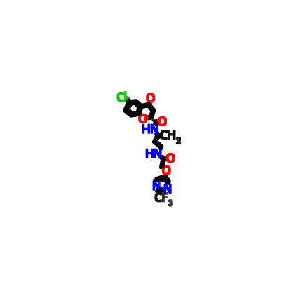 C=C(CCNC(=O)COc1cnc(C(F)(F)F)nc1)NC(=O)[C@H]1CC(=O)c2cc(Cl)ccc2O1